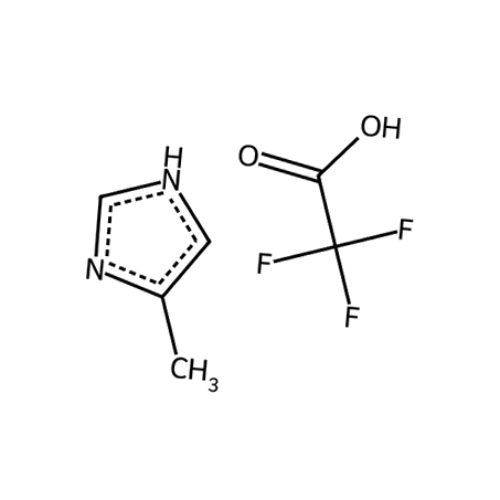 Cc1c[nH]cn1.O=C(O)C(F)(F)F